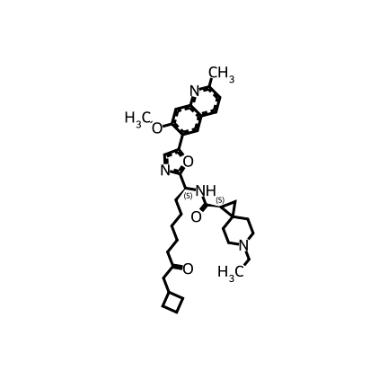 CCN1CCC2(CC1)C[C@@H]2C(=O)N[C@@H](CCCCCC(=O)CC1CCC1)c1ncc(-c2cc3ccc(C)nc3cc2OC)o1